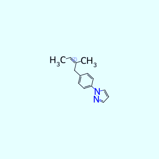 C/C=C(/C)Cc1ccc(-n2cccn2)cc1